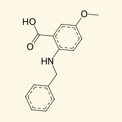 COc1ccc(NCc2ccccc2)c(C(=O)O)c1